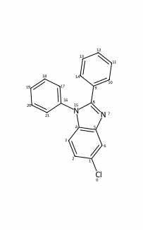 Clc1ccc2c(c1)nc(-c1ccccc1)n2-c1ccccc1